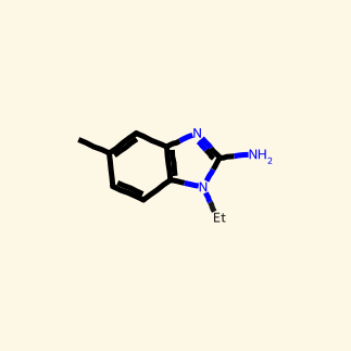 CCn1c(N)nc2cc(C)ccc21